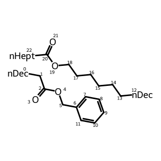 CCCCCCCCCCCC(=O)OCc1ccccc1.CCCCCCCCCCCCCCCCOC(=O)CCCCCCC